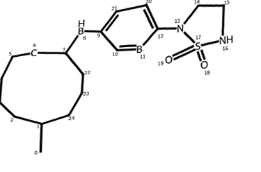 CC1CCCCCC(Bc2cbc(N3CCNS3(=O)=O)cc2)CCC1